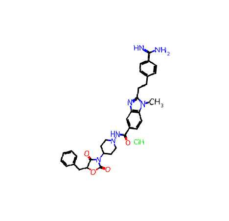 Cl.Cn1c(CCc2ccc(C(=N)N)cc2)nc2cc(C(=O)NN3CCC(N4C(=O)OC(Cc5ccccc5)C4=O)CC3)ccc21